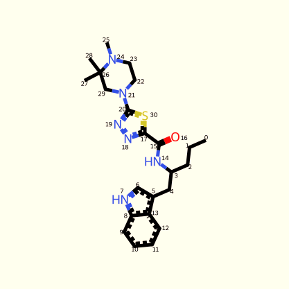 CCCC(Cc1c[nH]c2ccccc12)NC(=O)c1nnc(N2CCN(C)C(C)(C)C2)s1